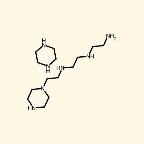 C1CNCCN1.NCCNCCNCCN1CCNCC1